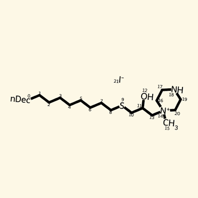 CCCCCCCCCCCCCCCCCCSCC(O)C[N+]1(C)CCNCC1.[I-]